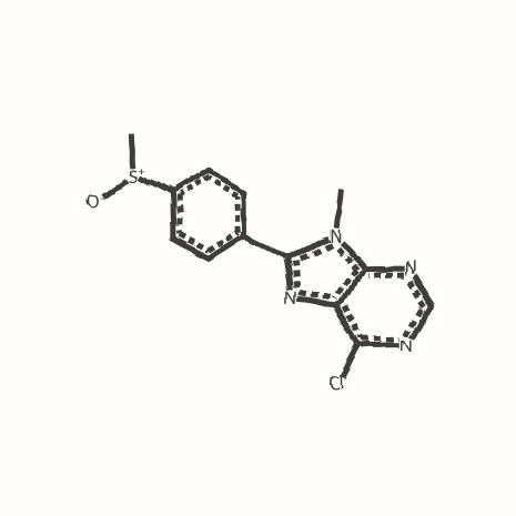 Cn1c(-c2ccc([S+](C)[O-])cc2)nc2c(Cl)ncnc21